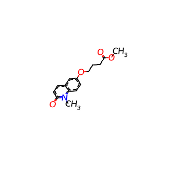 COC(=O)CCCOc1ccc2c(ccc(=O)n2C)c1